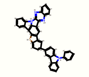 c1ccc(-n2c3ccccc3c3cc(-c4ccc5sc6c(cc7c8nc9ccccc9nc8n8c9ccccc9c6c78)c5c4)ccc32)cc1